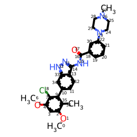 COc1cc(OC)c(Cl)c(-c2ccc3c(NC(=O)c4cccc(N5CCN(C)CC5)c4)n[nH]c3c2)c1C